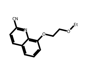 CCOCCOc1cccc2ccc(C#N)nc12